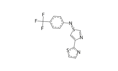 FC(F)(F)c1ccc(N=S2C=NC(c3nccs3)=C2)cc1